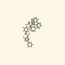 Cc1oc(-c2ccccc2)nc1C(C)Oc1ccc(CC2OC(=O)N(C(c3ccccc3)(c3ccccc3)c3ccccc3)C2=O)cc1